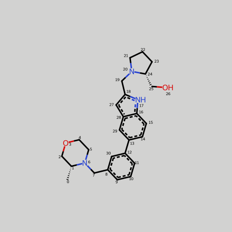 C[C@@H]1COCCN1Cc1cccc(-c2ccc3[nH]c(CN4CCC[C@@H]4CO)cc3c2)c1